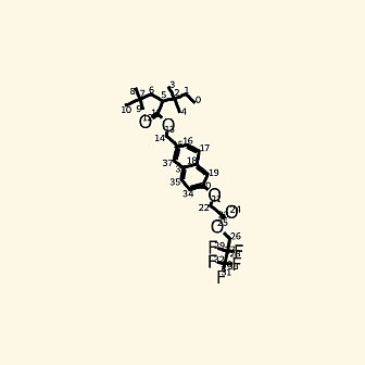 CCC(C)(C)C(CC(C)(C)C)C(=O)OCc1ccc2cc(OCC(=O)OCC(F)(F)C(F)(F)F)ccc2c1